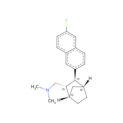 CN(C)C[C@H]1[C@H]2CC[C@H](C2)[C@@H]1c1ccc2cc(F)ccc2c1